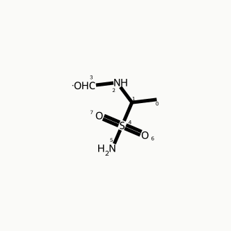 CC(N[C]=O)S(N)(=O)=O